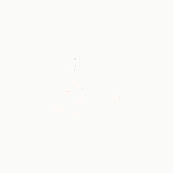 O=C(O)CC(O)(CC(=O)OP(=O)(O)O)C(=O)O.[CaH2].[CaH2].[NaH]